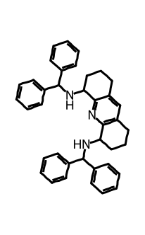 c1ccc(C(NC2CCCc3cc4c(nc32)C(NC(c2ccccc2)c2ccccc2)CCC4)c2ccccc2)cc1